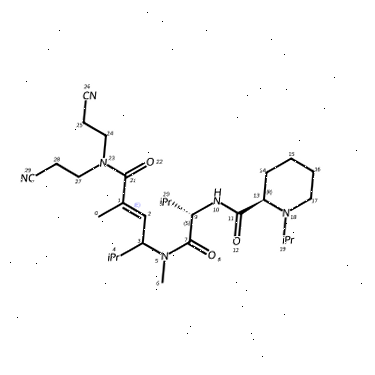 C/C(=C\C(C(C)C)N(C)C(=O)[C@@H](NC(=O)[C@H]1CCCCN1C(C)C)C(C)C)C(=O)N(CCC#N)CCC#N